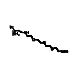 CNCCOCCOCCOCCNCC[C@H](N)C(C)C